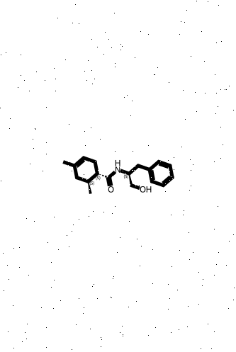 CC1=CC[C@H](C(=O)N[C@H](CO)Cc2ccccc2)[C@@H](C)C1